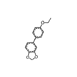 CCOc1ccc(-c2ccc3c(c2)OCO3)cc1